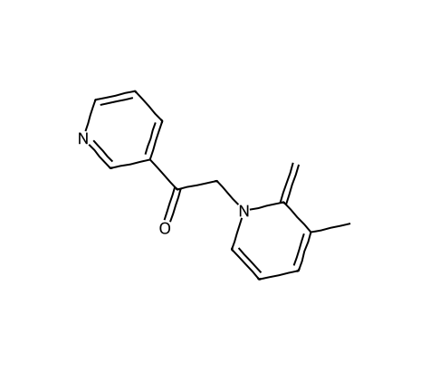 C=C1C(C)=CC=CN1CC(=O)c1cccnc1